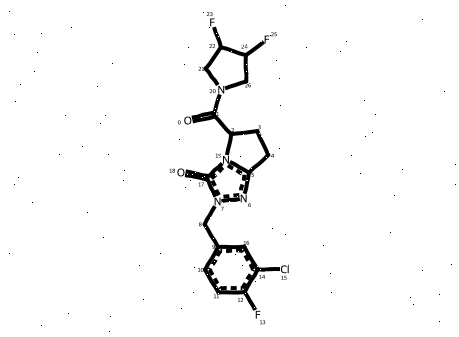 O=C(C1CCc2nn(Cc3ccc(F)c(Cl)c3)c(=O)n21)N1CC(F)C(F)C1